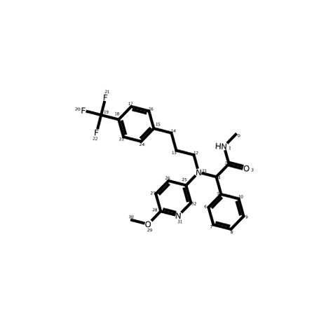 CNC(=O)C(c1ccccc1)N(CCCc1ccc(C(F)(F)F)cc1)c1ccc(OC)nc1